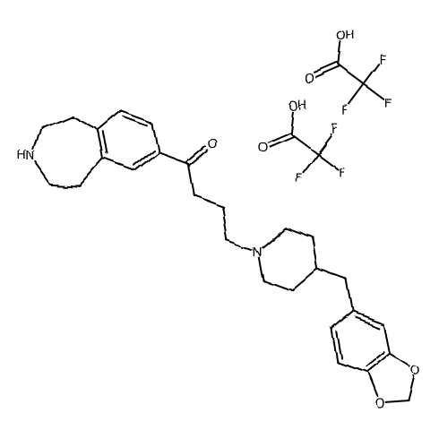 O=C(CCCN1CCC(Cc2ccc3c(c2)OCO3)CC1)c1ccc2c(c1)CCNCC2.O=C(O)C(F)(F)F.O=C(O)C(F)(F)F